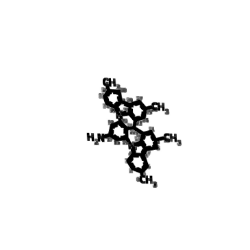 Cc1ccc2c(c1)c1cc(C)cc3c1n2-c1cc(N)cc2c1C3c1cc(C)cc3c4cc(C)ccc4n-2c13